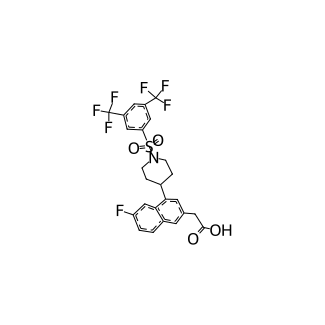 O=C(O)Cc1cc(C2CCN(S(=O)(=O)c3cc(C(F)(F)F)cc(C(F)(F)F)c3)CC2)c2cc(F)ccc2c1